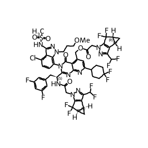 COCCCn1nc(NS(C)(=O)=O)c2c(Cl)ccc(-n3c([C@H](Cc4cc(F)cc(F)c4)NC(=O)Cn4nc(C(F)F)c5c4C(F)(F)[C@@H]4C[C@H]54)nc4nc(C5CCC(F)(F)CC5)cc(COC(=O)Cn5nc(C(F)F)c6c5C(F)(F)[C@@H]5C[C@H]65)c4c3=O)c21